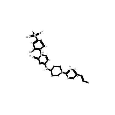 CC=Cc1cnc(N2CCC(Oc3ccn(-c4ccc(S(C)(=O)=O)cc4F)c(=O)c3)CC2)nc1